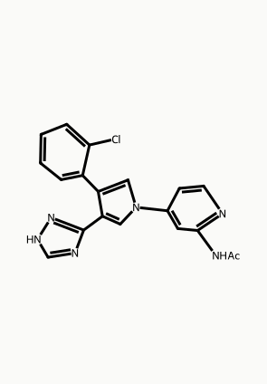 CC(=O)Nc1cc(-n2cc(-c3nc[nH]n3)c(-c3ccccc3Cl)c2)ccn1